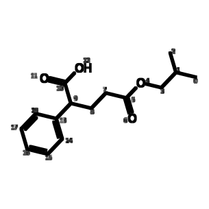 CC(C)COC(=O)CCC(C(=O)O)c1ccccc1